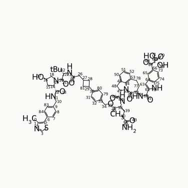 Cc1ncsc1-c1ccc(CNC(=O)[C@@H]2C[C@@H](O)CN2C(=O)[C@@H](NC(=O)CC2CC(c3ccc(CO[C@H](C)[C@H](CCC(N)=O)NC(=O)[C@@H]4Cc5cccc6c5N4C(=O)[C@@H](NC(=O)c4cc5cc(C(=O)P(=O)(O)O)ccc5[nH]4)CC6)cc3)C2)C(C)(C)C)cc1